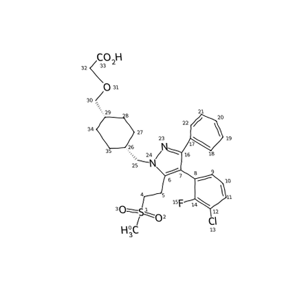 CS(=O)(=O)CCc1c(-c2cccc(Cl)c2F)c(-c2ccccc2)nn1C[C@H]1CC[C@@H](COCC(=O)O)CC1